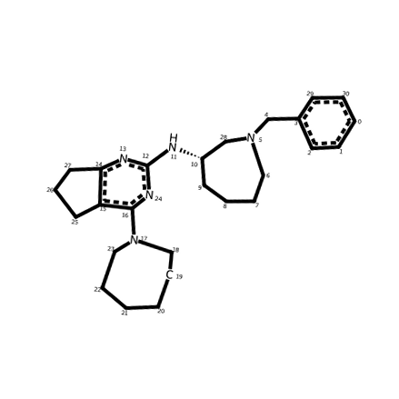 c1ccc(CN2CCCC[C@H](Nc3nc4c(c(N5CCCCCC5)n3)CCC4)C2)cc1